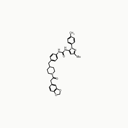 Cc1ccc(-n2nc(C(C)(C)C)cc2NC(=O)Nc2ccc(CC3CCN(C(=O)Cc4ccc5c(c4)OCO5)CC3)cc2)cc1